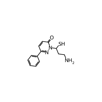 NCCC(S)n1nc(-c2ccccc2)ccc1=O